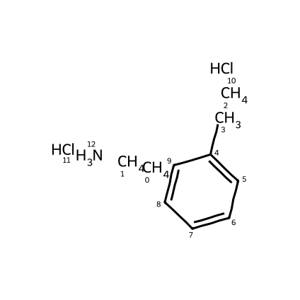 C.C.C.Cc1ccccc1.Cl.Cl.N